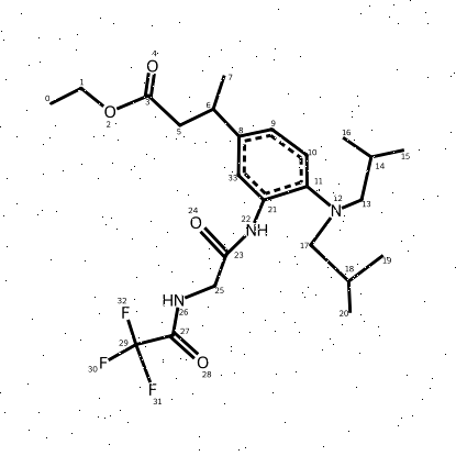 CCOC(=O)CC(C)c1ccc(N(CC(C)C)CC(C)C)c(NC(=O)CNC(=O)C(F)(F)F)c1